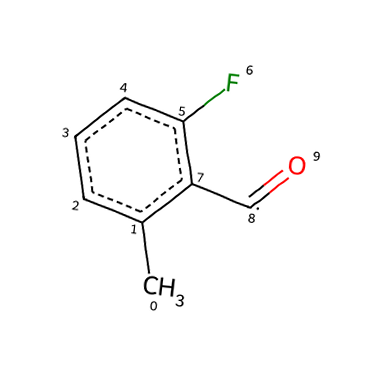 Cc1cccc(F)c1[C]=O